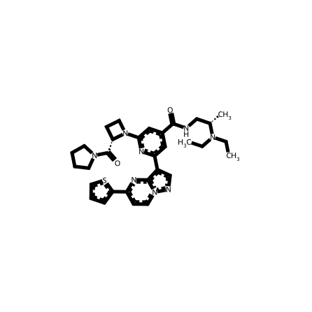 CCN(CC)[C@@H](C)CNC(=O)c1cc(-c2cnn3ccc(-c4cccs4)nc23)nc(N2CC[C@H]2C(=O)N2CCCC2)c1